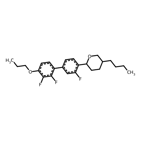 CCCCC1CCC(c2ccc(-c3ccc(OCCC)c(F)c3F)cc2F)OC1